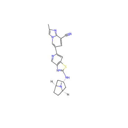 Cc1cn2cc(-c3cc4sc(N[C@@H]5C[C@H]6CC[C@@H](C5)N6C)nc4cn3)cc(C#N)c2n1